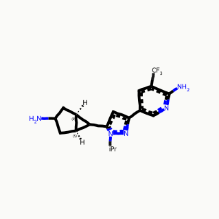 CC(C)n1nc(-c2cnc(N)c(C(F)(F)F)c2)cc1C1[C@H]2CC(N)C[C@@H]12